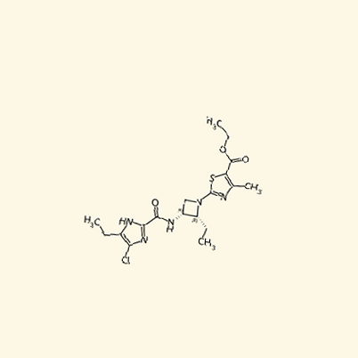 CCOC(=O)c1sc(N2C[C@@H](NC(=O)c3nc(Cl)c(CC)[nH]3)[C@H]2CC)nc1C